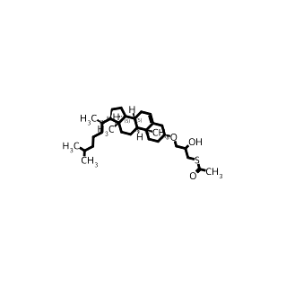 CC(=O)SCC(O)CO[C@H]1CC[C@@]2(C)C(=CC[C@H]3[C@@H]4CC[C@H]([C@H](C)CCCC(C)C)[C@@]4(C)CC[C@@H]32)C1